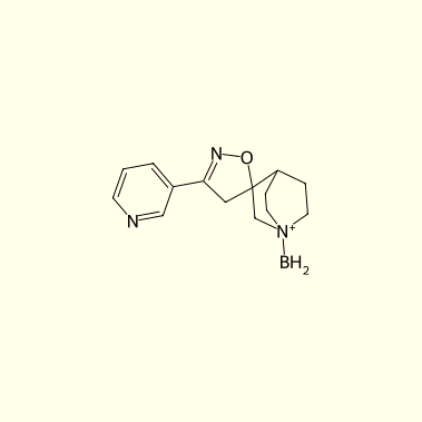 B[N+]12CCC(CC1)C1(CC(c3cccnc3)=NO1)C2